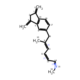 C=C1CC(=C)c2cc(C/C(C)=C/C=C\C=N/C)ccc21